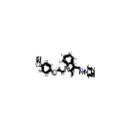 Cc1c(/C=N/n2cnnc2)c2ccccc2n1CCOc1ccc(OCl)cc1